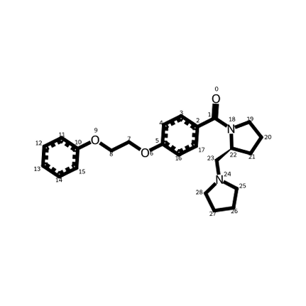 O=C(c1ccc(OCCOc2ccccc2)cc1)N1CCC[C@H]1CN1CCCC1